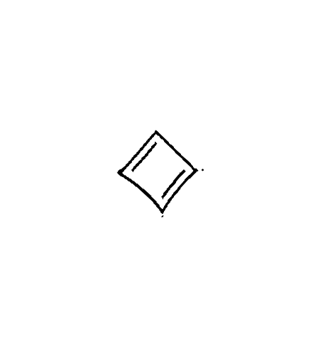 [C]1=[C]C=C1